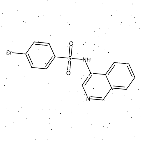 O=S(=O)(Nc1cn[c]c2ccccc12)c1ccc(Br)cc1